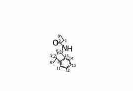 CCC(=O)NC1CC(C)(C)c2ccccc21